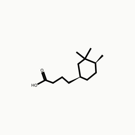 C[C@H]1CC[C@@H](CCCC(=O)O)CC1(C)C